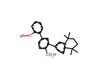 CCCOc1ccccc1-c1ccc(C(=O)O)c(-c2ccc3c(c2)C(C)(C)CCC3(C)C)c1